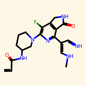 C=CC(=O)NC1CCCN(c2nc(/C(C=N)=C/NC)c3c(c2F)CNC3=O)C1